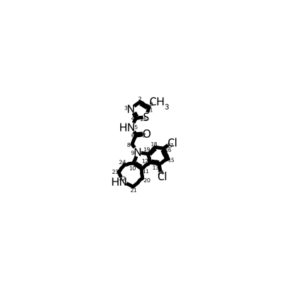 Cc1cnc(NC(=O)Cn2c3c(c4c(Cl)cc(Cl)cc42)CCNCC3)s1